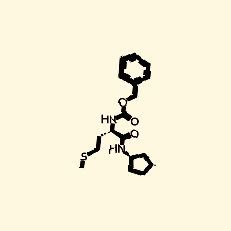 CSCC[C@H](NC(=O)OCc1ccccc1)C(=O)N[C@H]1C[CH]CC1